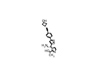 C[C@H](O)c1nccn1[C@H](CN)c1cc(-c2ccc(C#C[C@H]3C[C@H](O)C3)cc2)no1